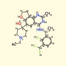 CC(=O)CN1CCC(O)(c2cc3c(N[C@H](C)c4cccc(C(F)F)c4F)nc(C)nc3c3c2OCC3)CC1